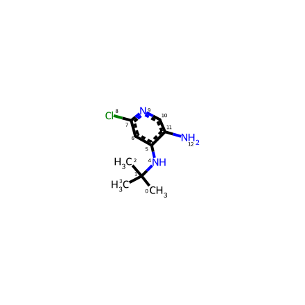 CC(C)(C)Nc1cc(Cl)ncc1N